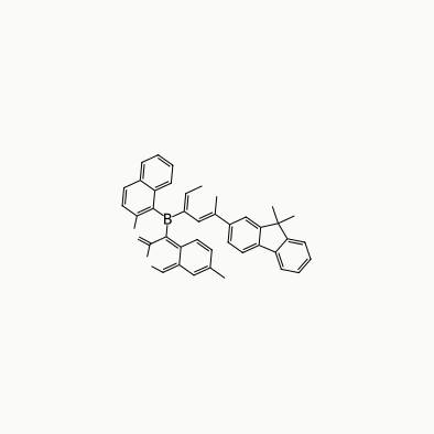 C=C(C)/C(B(C(=C/C)/C=C(\C)c1ccc2c(c1)C(C)(C)c1ccccc1-2)c1c(C)ccc2ccccc12)=c1/ccc(C)c/c1=C/C